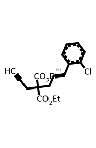 C#CCC(C/C=C/c1ccccc1Cl)(C(=O)OCC)C(=O)OCC